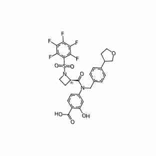 O=C(O)c1ccc(N(Cc2ccc(C3CCOC3)cc2)C(=O)[C@H]2CCN2S(=O)(=O)c2c(F)c(F)c(F)c(F)c2F)cc1O